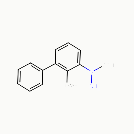 COc1c(-c2ccccc2)cccc1N(N)C(=O)O